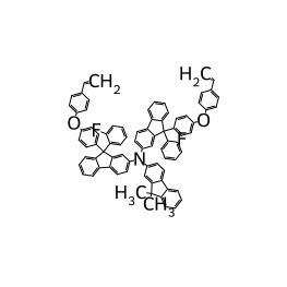 C=Cc1ccc(Oc2ccc(C3(c4ccccc4F)c4ccccc4-c4ccc(N(c5ccc6c(c5)C(C)(C)c5ccccc5-6)c5ccc6c(c5)C(c5ccc(Oc7ccc(C=C)cc7)cc5)(c5ccccc5F)c5ccccc5-6)cc43)cc2)cc1